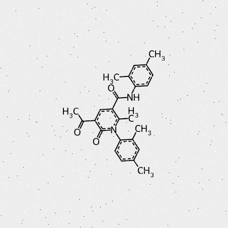 CC(=O)c1cc(C(=O)Nc2ccc(C)cc2C)c(C)n(-c2ccc(C)cc2C)c1=O